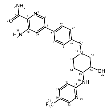 NC(=O)c1ncc(-c2ccc(SN3CCC(Nc4ccc(C(F)(F)F)cn4)C(O)C3)cc2)cc1N